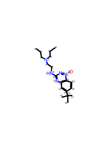 CCCN(CCC)CCNc1nc2cc(C(C)(C)C)ccc2[n+]([O-])n1